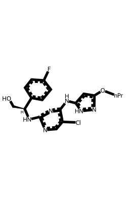 CCCOc1cc(Nc2nc(N[C@@H](CO)c3ccc(F)cc3)ncc2Cl)[nH]n1